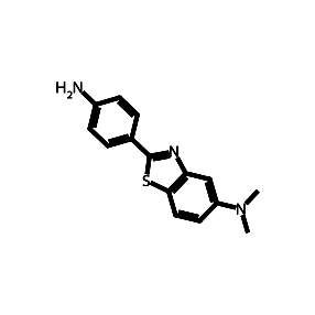 CN(C)c1ccc2sc(-c3ccc(N)cc3)nc2c1